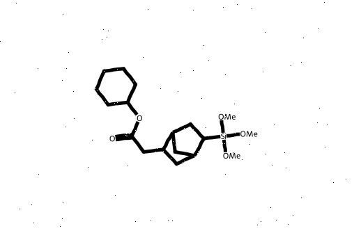 CO[Si](OC)(OC)C1CC2CC1CC2CC(=O)OC1CCCCC1